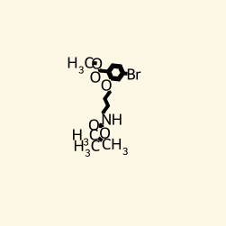 COC(=O)c1ccc(Br)cc1OCCCCNC(=O)OC(C)(C)C